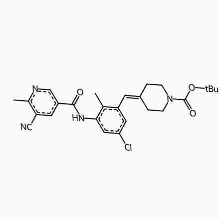 Cc1ncc(C(=O)Nc2cc(Cl)cc(C=C3CCN(C(=O)OC(C)(C)C)CC3)c2C)cc1C#N